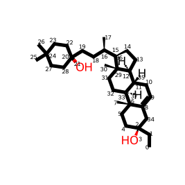 CC[C@]1(O)CC[C@@]2(C)C(=CC[C@H]3[C@@H]4CC[C@H]([C@H](C)CCC5(O)CCC(C)(C)CC5)[C@@]4(C)CC[C@@H]32)C1